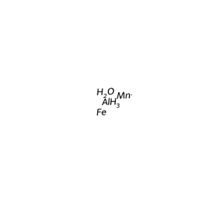 O.[AlH3].[Fe].[Mn]